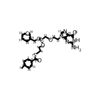 Cc1ccc(C(=O)SCCOP(COCCn2cnc3c(=O)[nH]c(N)nc32)OCc2ccccc2)cc1